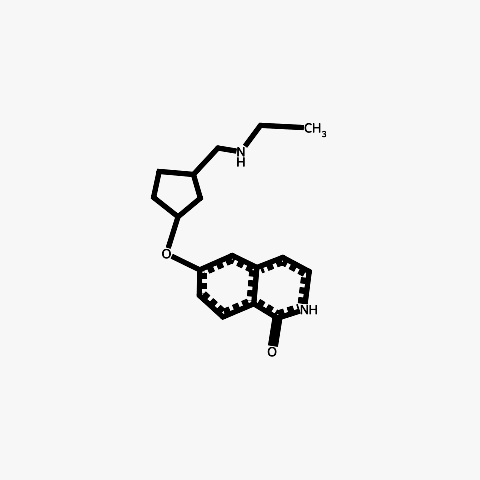 CCNCC1CCC(Oc2ccc3c(=O)[nH]ccc3c2)C1